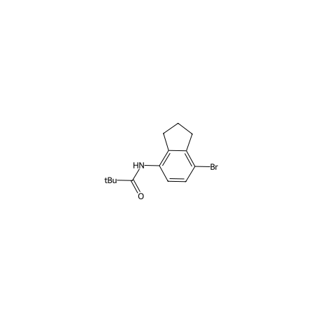 CC(C)(C)C(=O)Nc1ccc(Br)c2c1CCC2